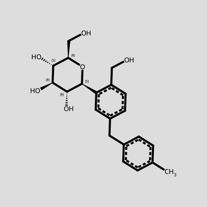 Cc1ccc(Cc2ccc(CO)c([C@@H]3O[C@H](CO)[C@@H](O)[C@H](O)[C@H]3O)c2)cc1